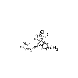 Cc1ccc2c(c1)c1c(n2C#CC=C2CCCC2)CCN(C)C1